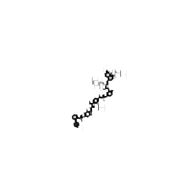 CC(Cc1cc(CC(=O)NCc2ccc(N(C)C(=O)CCN3CCC(OC(=O)Nc4ccccc4-c4ccccc4)CC3)cc2)ccc1F)NC[C@H](O)c1ccc(O)c2[nH]c(=O)ccc12